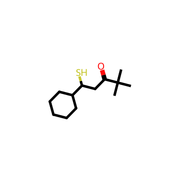 CC(C)(C)C(=O)CC(S)C1CCCCC1